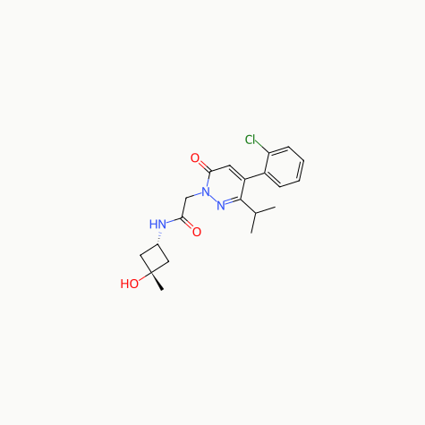 CC(C)c1nn(CC(=O)N[C@H]2C[C@@](C)(O)C2)c(=O)cc1-c1ccccc1Cl